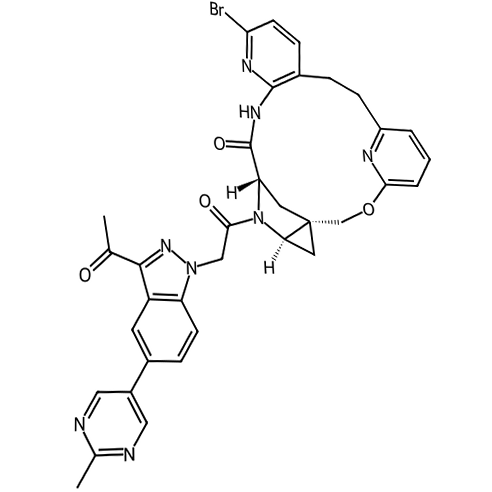 CC(=O)c1nn(CC(=O)N2[C@H]3C[C@@]4(COc5cccc(n5)CCc5ccc(Br)nc5NC3=O)C[C@@H]24)c2ccc(-c3cnc(C)nc3)cc12